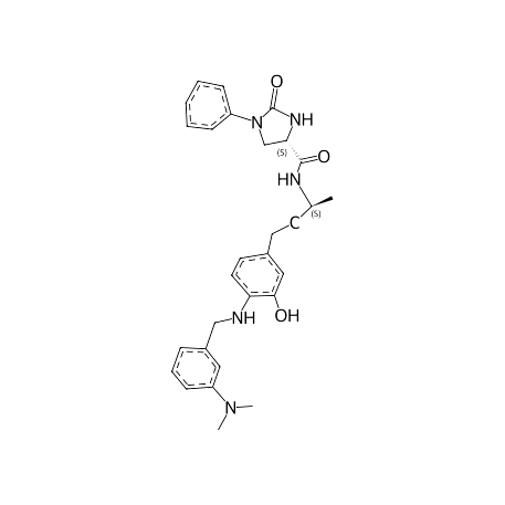 C[C@@H](CCc1ccc(NCc2cccc(N(C)C)c2)c(O)c1)NC(=O)[C@@H]1CN(c2ccccc2)C(=O)N1